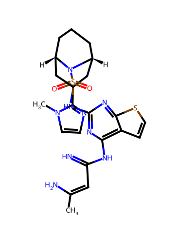 C/C(N)=C/C(=N)Nc1nc(N[C@@H]2C[C@H]3CCC[C@@H](C2)N3S(=O)(=O)c2nccn2C)nc2sccc12